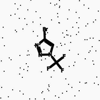 FC(F)(F)N1C=C(Br)[N+]=N1